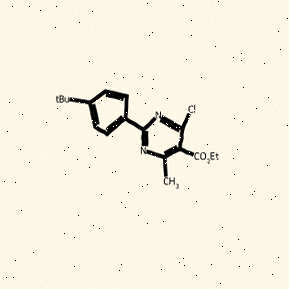 CCOC(=O)c1c(C)nc(-c2ccc(C(C)(C)C)cc2)nc1Cl